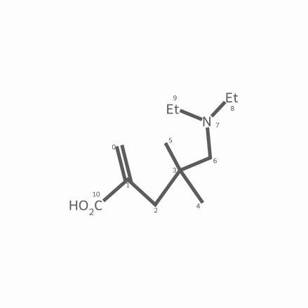 C=C(CC(C)(C)CN(CC)CC)C(=O)O